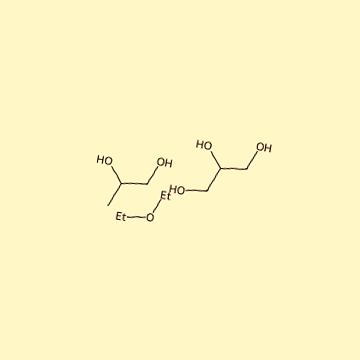 CC(O)CO.CCOCC.OCC(O)CO